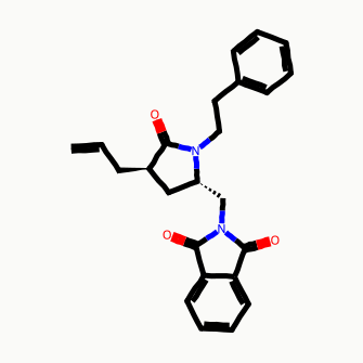 C=CC[C@@H]1C[C@@H](CN2C(=O)c3ccccc3C2=O)N(CCc2ccccc2)C1=O